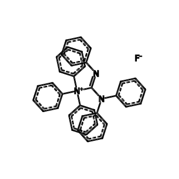 [F-].c1ccc(N=C(N(c2ccccc2)c2ccccc2)[N+](c2ccccc2)(c2ccccc2)c2ccccc2)cc1